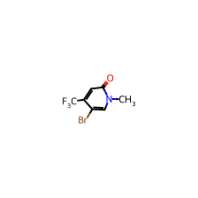 Cn1cc(Br)c(C(F)(F)F)cc1=O